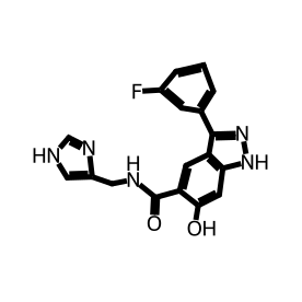 O=C(NCc1c[nH]cn1)c1cc2c(-c3cccc(F)c3)n[nH]c2cc1O